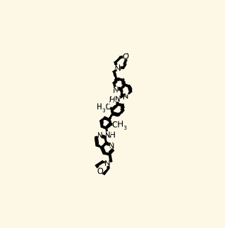 Cc1c(Nc2nccc3cc(CN4CCOCC4)cnc23)cccc1-c1cccc(Nc2nccc3cc(CN4CCOCC4)cnc23)c1C